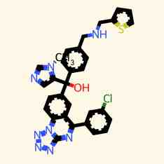 Cn1cncc1C(O)(c1ccc(CNCc2cccs2)cc1)c1ccc2c(c1)c(-c1cccc(Cl)c1)nc1nnnn12